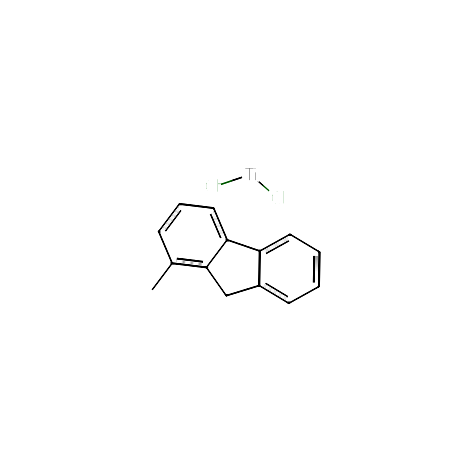 Cc1cccc2c1[CH]c1ccccc1-2.[Cl][Ti][Cl]